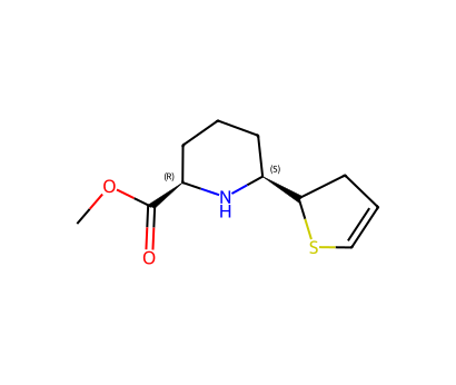 COC(=O)[C@H]1CCC[C@@H](C2CC=CS2)N1